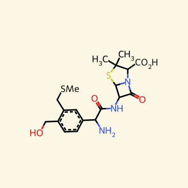 CSCc1cc(C(N)C(=O)NC2C(=O)N3C2SC(C)(C)C3C(=O)O)ccc1CO